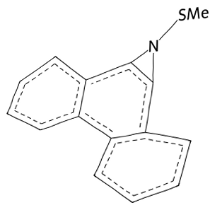 CSN1c2c1c1ccccc1c1ccccc21